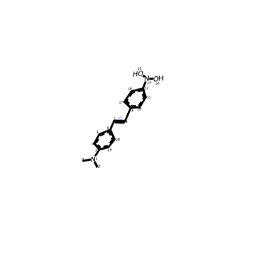 CN(C)c1ccc(/C=C/c2ccc(N(O)O)cc2)cc1